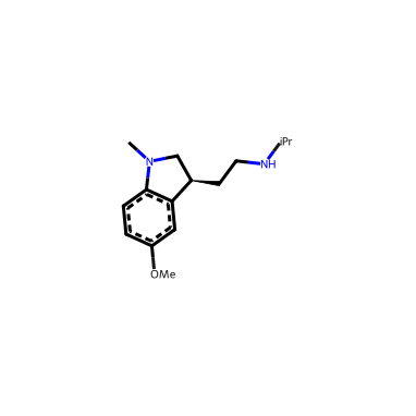 COc1ccc2c(c1)[C@H](CCNC(C)C)CN2C